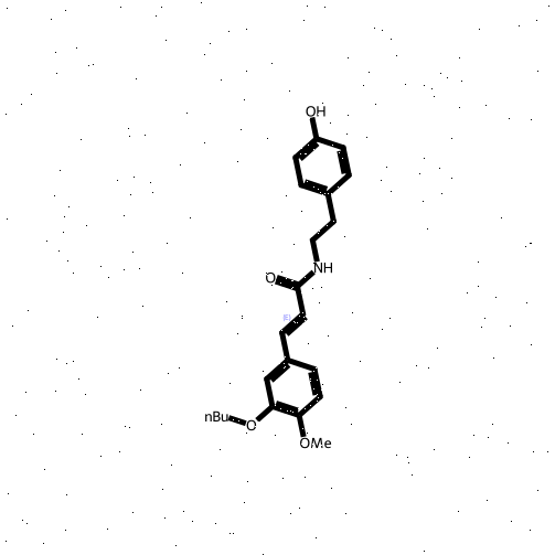 CCCCOc1cc(/C=C/C(=O)NCCc2ccc(O)cc2)ccc1OC